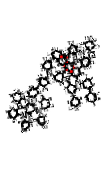 c1ccc(-c2cccc(N3c4cc(-c5ccccc5)ccc4B4c5ccc(N(c6ccccc6)c6ccc(-c7ccc(N8c9ccccc9B9c%10ccccc%10N%10c%11ccccc%11B%11c%12ccccc%12N(c%12ccccc%12)c%12cc8c9c%10c%12%11)cc7)cc6)cc5N(c5ccccc5)c5cc(-c6ccc7c8c6B6c9ccccc9N(c9ccccc9)c9cccc(c96)N8c6ccccc6O7)cc3c54)c2)cc1